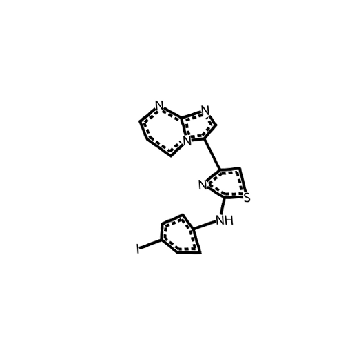 Ic1ccc(Nc2nc(-c3cnc4ncccn34)cs2)cc1